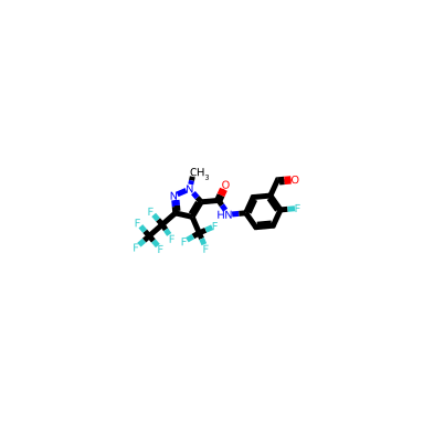 Cn1nc(C(F)(F)C(F)(F)F)c(C(F)(F)F)c1C(=O)Nc1ccc(F)c(C=O)c1